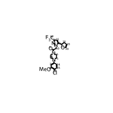 COc1cc(N2CCN(C(=O)Cn3nc(C(F)(F)F)cc3C3CC=CO3)CC2)ccc1Cl